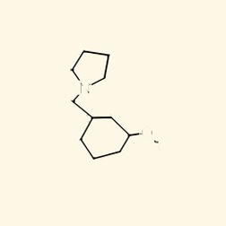 IOC1CCCC(CN2CCCC2)C1